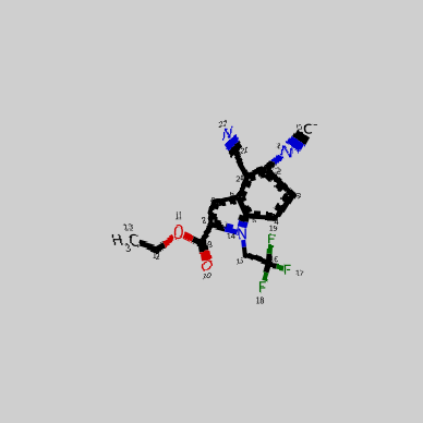 [C-]#[N+]c1ccc2c(cc(C(=O)OCC)n2CC(F)(F)F)c1C#N